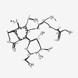 COc1c(C)c2c(c([C@@H]3O[C@H](CO)[C@@H](O)[C@H](O)[C@H]3O)c1CC=C(C)CCC(=O)O)C(=O)OC2